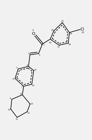 O=C(C=Cc1ccc(C2CCCCC2)cc1)c1ccc(Cl)cc1